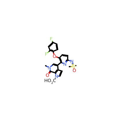 Cn1cc(-c2nc(N=S(C)(C)=O)ccc2Oc2ccc(F)cc2F)c2ccn(C(=O)O)c2c1=O